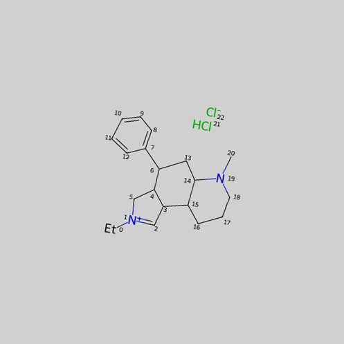 CC[N+]1=CC2C(C1)C(c1ccccc1)CC1C2CCCN1C.Cl.[Cl-]